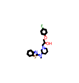 CN(c1nc2ccccc2s1)C1CCCN(CC(O)COc2ccc(F)cc2)C1